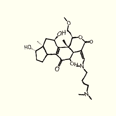 COC[C@H]1OC(=O)/C(=C/N(C)CCCN(C)C)C2C(O)C(=O)C3=C([C@H](O)C[C@@]4(C)C3CC[C@@H]4O)[C@@]21C